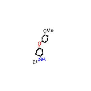 CCNc1ccc(Oc2cccc(OC)c2)cc1